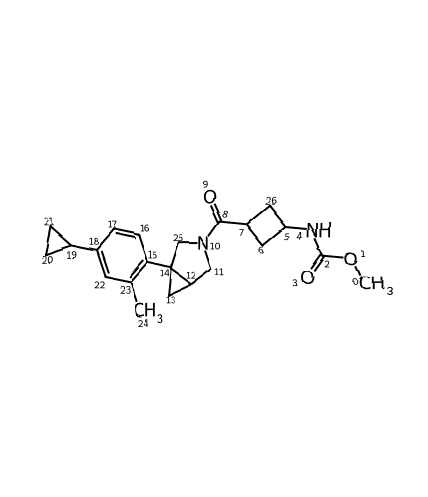 COC(=O)NC1CC(C(=O)N2CC3CC3(c3ccc(C4CC4)cc3C)C2)C1